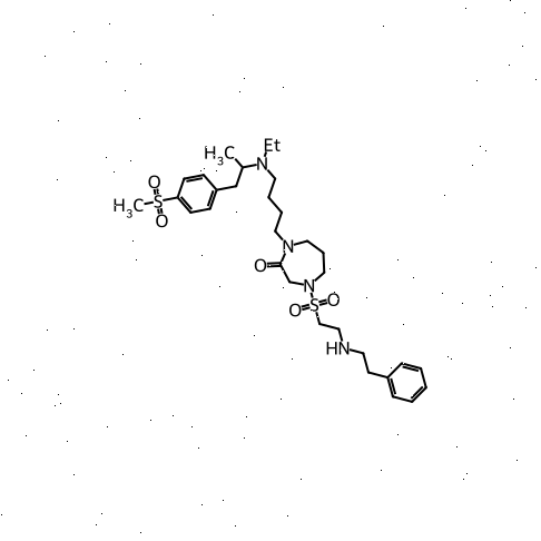 CCN(CCCCN1CCCN(S(=O)(=O)CCNCCc2ccccc2)CC1=O)C(C)Cc1ccc(S(C)(=O)=O)cc1